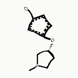 CN1CC[C@@H](Oc2ccc(Cl)cc2)C1